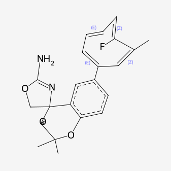 CC1=C/C(c2ccc3c(c2)C2(COC(N)=N2)C2(COC2)C(C)(C)O3)=C\C=C\C=C\1F